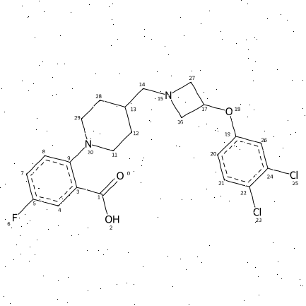 O=C(O)c1cc(F)ccc1N1CCC(CN2CC(Oc3ccc(Cl)c(Cl)c3)C2)CC1